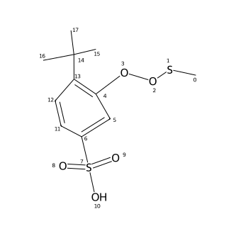 CSOOc1cc(S(=O)(=O)O)ccc1C(C)(C)C